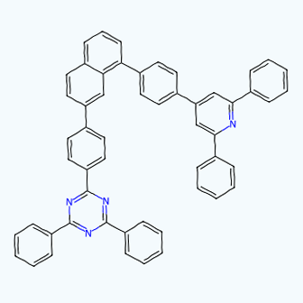 c1ccc(-c2cc(-c3ccc(-c4cccc5ccc(-c6ccc(-c7nc(-c8ccccc8)nc(-c8ccccc8)n7)cc6)cc45)cc3)cc(-c3ccccc3)n2)cc1